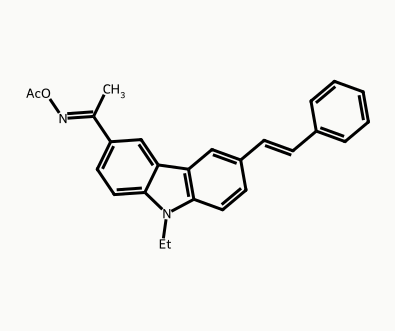 CCn1c2ccc(/C=C/c3ccccc3)cc2c2cc(/C(C)=N/OC(C)=O)ccc21